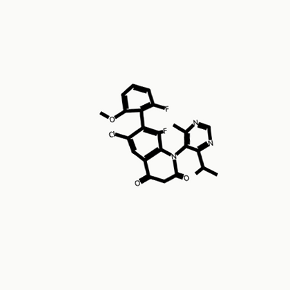 COc1cccc(F)c1-c1c(Cl)cc2c(c1F)N(c1c(C)ncnc1C(C)C)C(=O)CC2=O